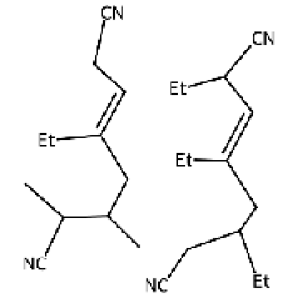 CC/C(=C\C(C#N)CC)CC(CC)CC#N.CC/C(=C\CC#N)CC(C)C(C)C#N